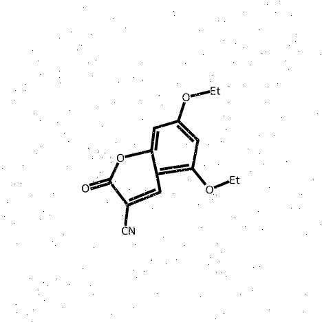 CCOc1cc(OCC)c2cc(C#N)c(=O)oc2c1